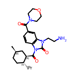 CC(C)[C@@H]1CC[C@@H](C)C[C@H]1C(=O)n1c(=O)n(CCN)c2cc(C(=O)N3CCOCC3)ccc21